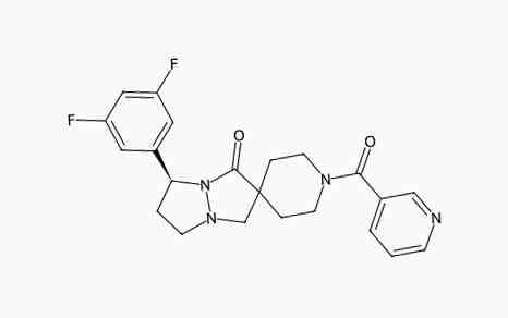 O=C(c1cccnc1)N1CCC2(CC1)CN1CC[C@@H](c3cc(F)cc(F)c3)N1C2=O